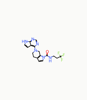 O=C(NCCC(F)(F)F)n1ccc2c1CN(c1ncnc3[nH]ccc13)CC2